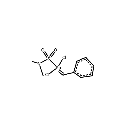 CN(C)[S](=O)(=O)[Ru]([Cl])([Cl])=[CH]c1ccccc1